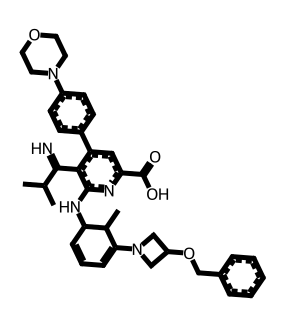 CC(C)C(=N)c1c(-c2ccc(N3CCOCC3)cc2)cc(C(=O)O)nc1NC1C=CC=C(N2CC(OCc3ccccc3)C2)C1C